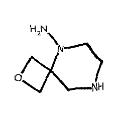 NN1CCNCC12COC2